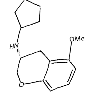 COc1cccc2c1C[C@@H](NC1CCCC1)CO2